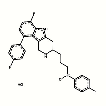 Cl.[O-][S+](CCCC1Cc2[nH]c3c(F)ccc(-c4ccc(F)cc4)c3c2CN1)c1ccc(F)cc1